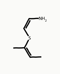 C/C=C(/C)S/C=C\N